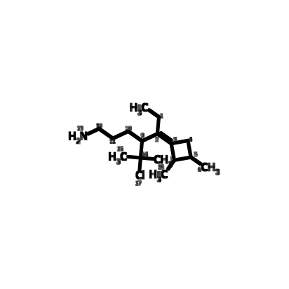 CC/C(=C1\CC(C)C1C)C(CCCN)C(C)(C)Cl